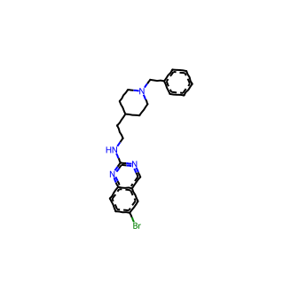 Brc1ccc2nc(NCCC3CCN(Cc4ccccc4)CC3)ncc2c1